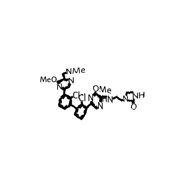 CNCc1ncc(-c2cccc(-c3cccc(-c4cnc(CNCCN5CCNC5=O)c(OC)n4)c3Cl)c2Cl)nc1OC